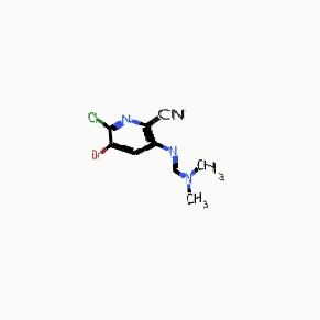 CN(C)C=Nc1cc(Br)c(Cl)nc1C#N